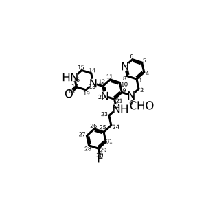 O=CN(Cc1cccnc1)c1ccc(N2CCNC(=O)C2)nc1NCCc1cccc(F)c1